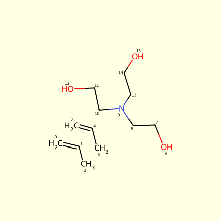 C=CC.C=CC.OCCN(CCO)CCO